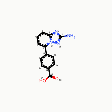 Nc1nc2cccc(-c3ccc(C(=O)O)cc3)n2n1